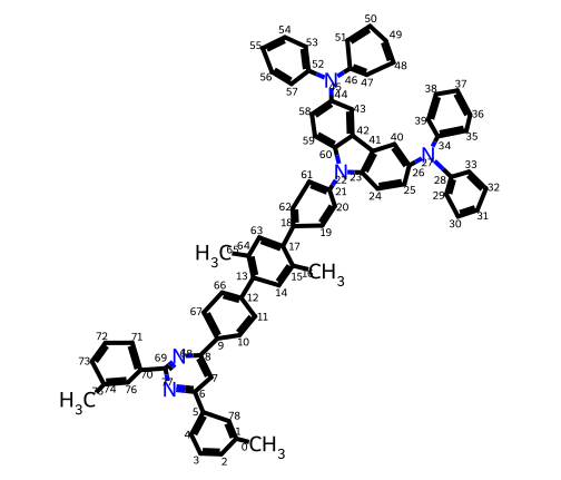 Cc1cccc(-c2cc(-c3ccc(-c4cc(C)c(-c5ccc(-n6c7ccc(N(c8ccccc8)c8ccccc8)cc7c7cc(N(c8ccccc8)c8ccccc8)ccc76)cc5)cc4C)cc3)nc(-c3cccc(C)c3)n2)c1